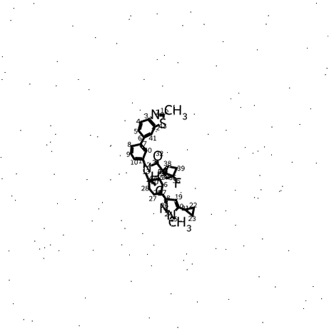 Cc1nc2ccc(-c3cccc(N(CC45CCC(c6cc(C7CC7)n(C)n6)(CC4)CC5)C(=O)[C@H]4CC5(F)CC4C5)c3)cc2s1